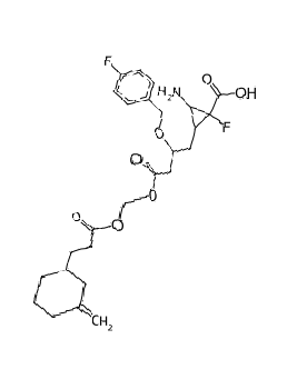 C=C1CCCC(CCC(=O)OCOC(=O)CC(CC2C(N)C2(F)C(=O)O)OCc2ccc(F)cc2)C1